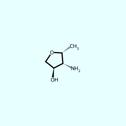 C[C@H]1OC[C@H](O)[C@H]1N